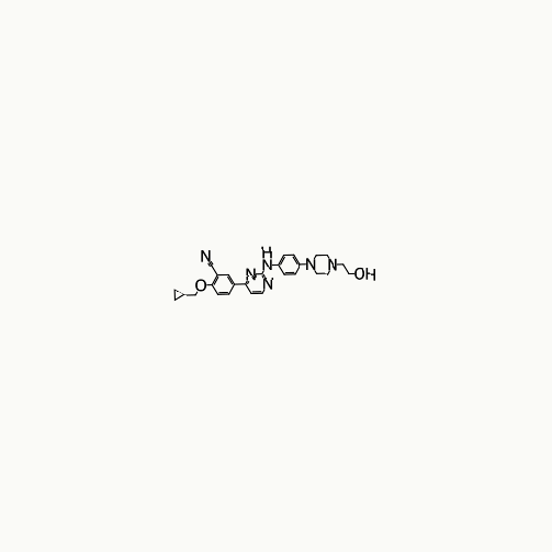 N#Cc1cc(-c2ccnc(Nc3ccc(N4CCN(CCO)CC4)cc3)n2)ccc1OCC1CC1